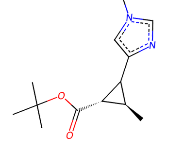 C[C@@H]1C(c2cn(C)cn2)[C@H]1C(=O)OC(C)(C)C